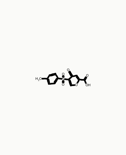 Cc1ccc(S(=O)(=O)c2coc(C(=O)O)cc2=O)cc1